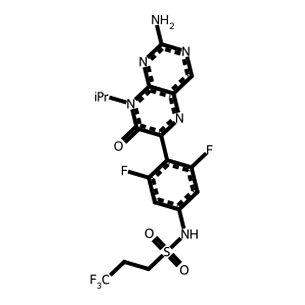 CC(C)n1c(=O)c(-c2c(F)cc(NS(=O)(=O)CCC(F)(F)F)cc2F)nc2cnc(N)nc21